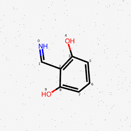 N=Cc1c(O)cccc1O